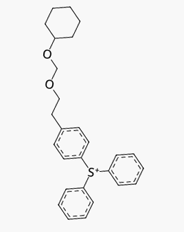 c1ccc([S+](c2ccccc2)c2ccc(CCOCOC3CCCCC3)cc2)cc1